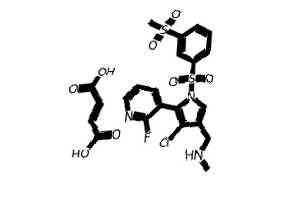 CNCc1cn(S(=O)(=O)c2cccc(S(C)(=O)=O)c2)c(-c2cccnc2F)c1Cl.O=C(O)/C=C/C(=O)O